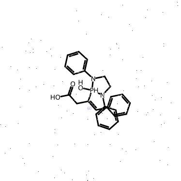 O=C(O)C/C(=C/c1ccccc1)[PH]1(O)N(c2ccccc2)CCN1c1ccccc1